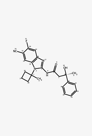 CC1(n2c(NC(=O)C[C@@](C)(O)c3ccccc3)nc3cc(F)c(C#N)cc32)CCC1